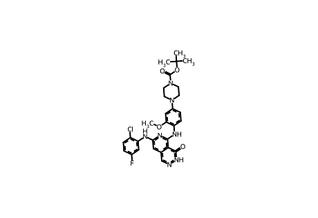 COc1cc(N2CCN(C(=O)OC(C)(C)C)CC2)ccc1Nc1nc(Nc2cc(F)ccc2Cl)cc2cn[nH]c(=O)c12